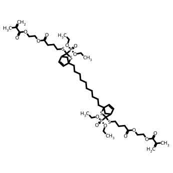 C=C(C)C(=O)OCCOC(=O)CCCSC1(P(=O)(OCC)OCC)SC2(CCCCCCCCCCC34C=CC(C3)C(SCCCC(=O)OCCOC(=O)C(=C)C)(P(=O)(OCC)OCC)S4)C=CC1C2